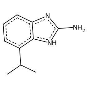 CC(C)c1cccc2nc(N)[nH]c12